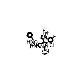 O=S(=O)(NCc1ccccc1)N[C@H]1CC2=C(c3ccn(C(F)F)n3)[C@H](c3ccc(F)cc3Cl)N=C(c3nccs3)N2C1